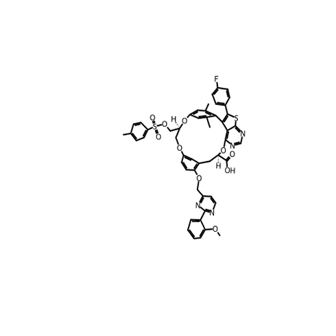 COc1ccccc1-c1nccc(COc2ccc3cc2C[C@H](C(=O)O)Oc2ncnc4sc(-c5ccc(F)cc5)c(c24)-c2c(C)cc(cc2C)O[C@H](COS(=O)(=O)c2ccc(C)cc2)CO3)n1